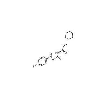 C[C@@H](CNc1ccc(F)cc1)NC(=O)[CH]CC1CCCCC1